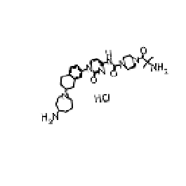 CC(C)(N)C(=O)N1CCN(C(=O)Nc2ccn(-c3ccc4c(c3)CC(N3CCCC(N)CC3)CC4)c(=O)n2)CC1.Cl